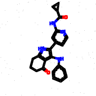 O=C1CCCc2[nH]c(-c3ccnc(NC(=O)C4CC4)c3)c(Nc3ccccc3)c21